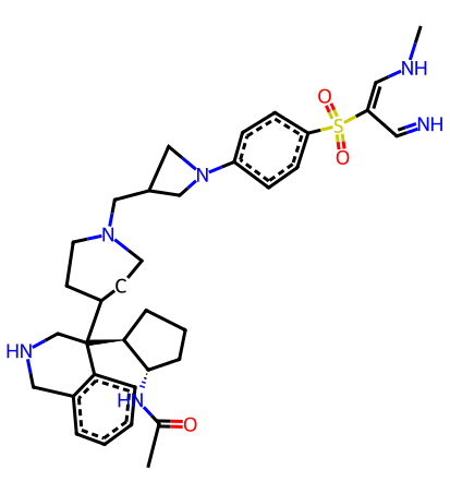 CN/C=C(\C=N)S(=O)(=O)c1ccc(N2CC(CN3CCC(C4([C@H]5CCC[C@@H]5NC(C)=O)CNCc5ccccc54)CC3)C2)cc1